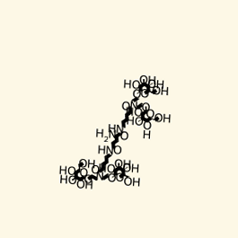 N[C@@H](CCC(=O)NCCCCCC(=O)N(CCO[C@H]1O[C@H](CO)[C@@H](O)[C@H](O)[C@@H]1O)CCO[C@H]1O[C@H](CO)[C@@H](O)[C@H](O)[C@@H]1O)C(=O)NCCCCCC(=O)N(CCO[C@H]1O[C@H](CO)[C@@H](O)[C@H](O)[C@@H]1O)CCO[C@H]1O[C@H](CO)[C@@H](O)[C@H](O)[C@@H]1O